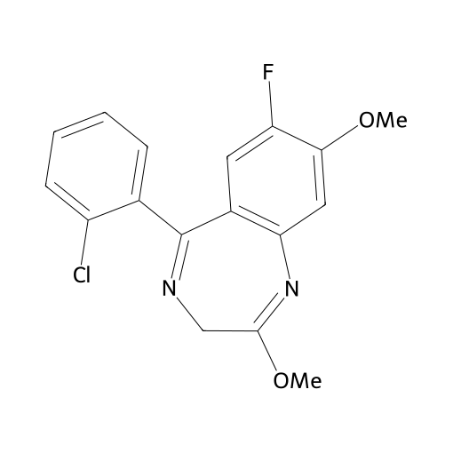 COC1=Nc2cc(OC)c(F)cc2C(c2ccccc2Cl)=NC1